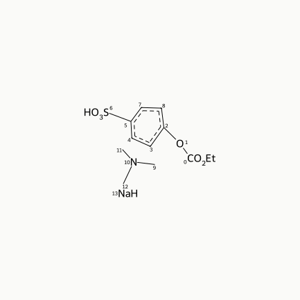 CCOC(=O)Oc1ccc(S(=O)(=O)O)cc1.CN(C)C.[NaH]